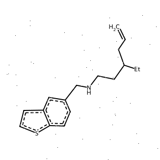 C=CCC(CC)CCNCc1ccc2sccc2c1